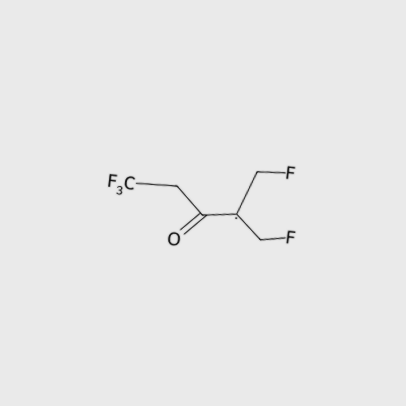 O=C(CC(F)(F)F)[C](CF)CF